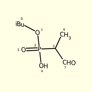 CCC(C)OP(=O)(O)C(C)C=O